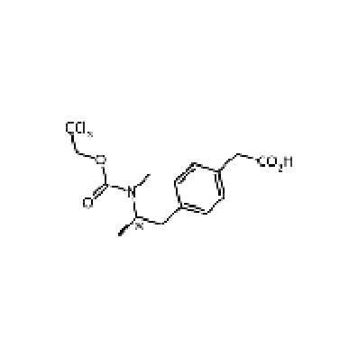 C[C@H](Cc1ccc(CC(=O)O)cc1)N(C)C(=O)OCC(Cl)(Cl)Cl